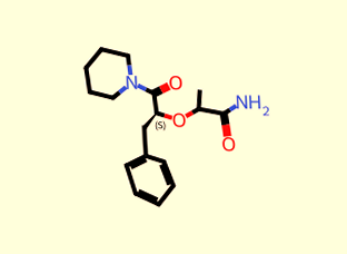 CC(O[C@@H](Cc1ccccc1)C(=O)N1CCCCC1)C(N)=O